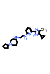 Cc1nc(-c2cccc(NCCNC3CCCN(C4CCCC4)CC3)n2)[nH]c1C1CC1